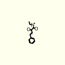 CCN(C)C(=O)C(=O)/C=C/c1ccccc1